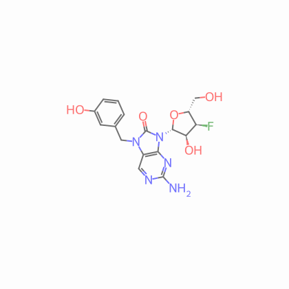 Nc1ncc2c(n1)n([C@@H]1O[C@H](CO)[C@@H](F)[C@H]1O)c(=O)n2Cc1cccc(O)c1